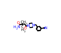 CC(C)(CC(=O)N1CCN(Cc2cccc(C#N)c2)CC1)C(N)=O